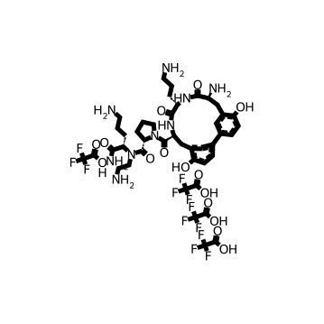 NCCC[C@@H]1NC(=O)[C@@H](N)Cc2cc(ccc2O)-c2ccc(O)c(c2)C[C@@H](C(=O)N2CCC[C@H]2C(=O)N(CCN)[C@@H](CCCN)C(N)=O)NC1=O.O=C(O)C(F)(F)F.O=C(O)C(F)(F)F.O=C(O)C(F)(F)F.O=C(O)C(F)(F)F